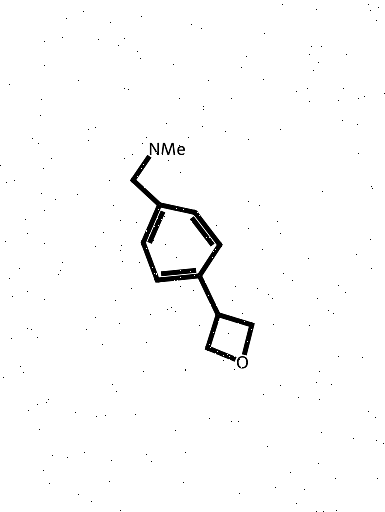 CNCc1ccc(C2COC2)cc1